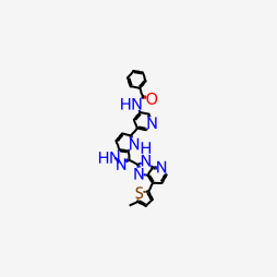 Cc1ccc(-c2ccnc3[nH]c(-c4n[nH]c5ccc(-c6cncc(NC(=O)c7ccccc7)c6)nc45)nc23)s1